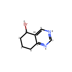 BrC1CCCc2ncncc21